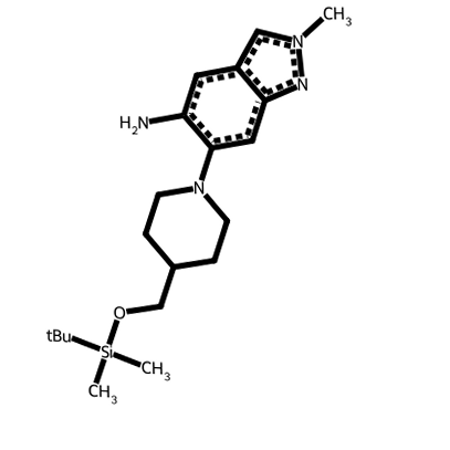 Cn1cc2cc(N)c(N3CCC(CO[Si](C)(C)C(C)(C)C)CC3)cc2n1